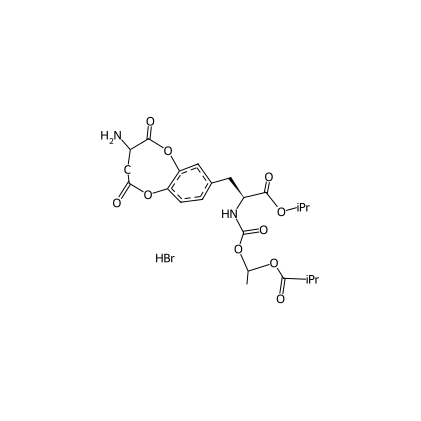 Br.CC(C)OC(=O)[C@H](Cc1ccc2c(c1)OC(=O)C(N)CC(=O)O2)NC(=O)OC(C)OC(=O)C(C)C